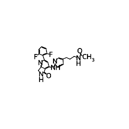 CC(=O)NCCCc1ccc(Nc2cc(-c3c(F)cccc3F)nc3c2C(=O)NC3)nc1